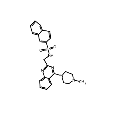 CN1CCN(c2nc(CNS(=O)(=O)c3ccc4ccccc4c3)nc3ccccc23)CC1